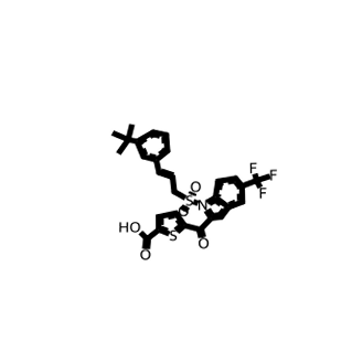 CC(C)(C)c1cccc(C=CCS(=O)(=O)n2c(C(=O)c3ccc(C(=O)O)s3)cc3cc(C(F)(F)F)ccc32)c1